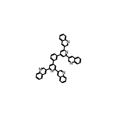 c1cc(-c2cc(-c3cnc4ccccc4c3)nc(-c3cnc4ccccc4c3)c2)cc(-c2cc(-c3cnc4ccccc4c3)nc(-c3cnc4ccccc4c3)c2)c1